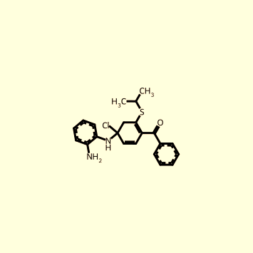 CC(C)SC1=C(C(=O)c2ccccc2)C=CC(Cl)(Nc2ccccc2N)C1